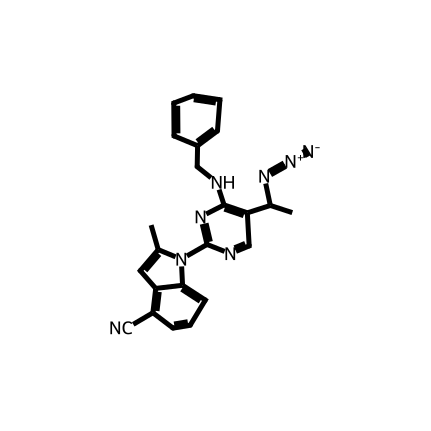 Cc1cc2c(C#N)cccc2n1-c1ncc(C(C)N=[N+]=[N-])c(NCc2ccccc2)n1